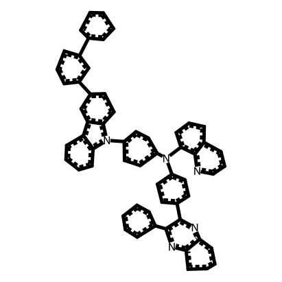 c1ccc(-c2cccc(-c3ccc4c(c3)c3ccccc3n4-c3ccc(N(c4ccc(-c5nc6ccccc6nc5-c5ccccc5)cc4)c4cccc5cccnc45)cc3)c2)cc1